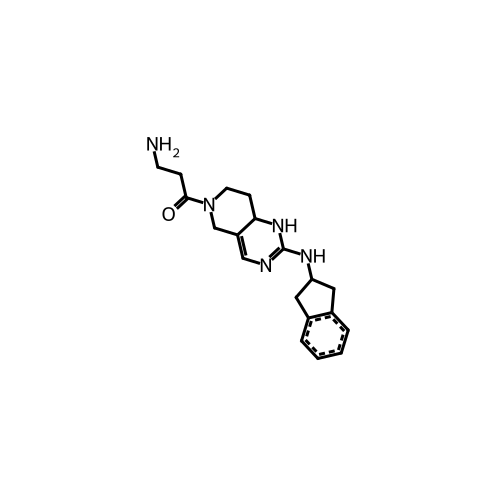 NCCC(=O)N1CCC2NC(NC3Cc4ccccc4C3)=NC=C2C1